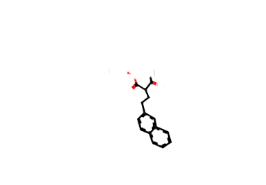 COC(=O)C(CCc1ccc2ccccc2c1)C(C)=O